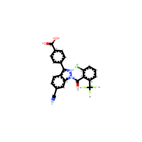 N#Cc1ccc2c(-c3ccc(C(=O)O)cc3)nn(C(=O)c3c(Cl)cccc3C(F)(F)F)c2c1